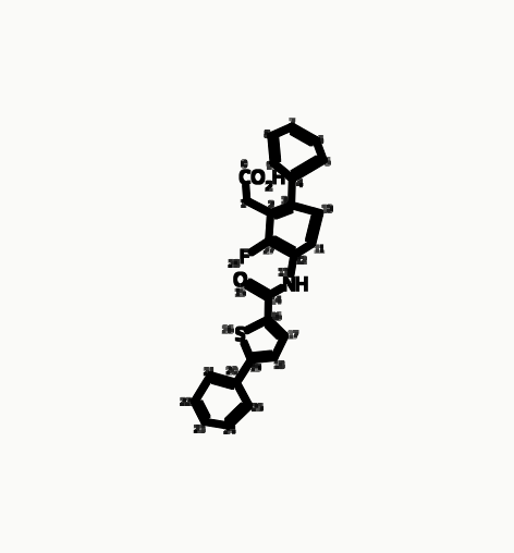 O=C(O)Cc1c(-c2ccccc2)ccc(NC(=O)c2ccc(-c3ccccc3)s2)c1F